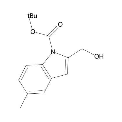 Cc1ccc2c(c1)cc(CO)n2C(=O)OC(C)(C)C